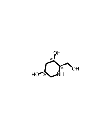 OC[C@H]1NC[C@@H](O)C[C@H]1O